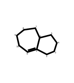 C1=C2CCCCC2CCCC1